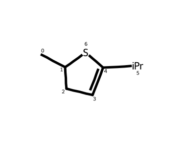 CC1CC=C(C(C)C)S1